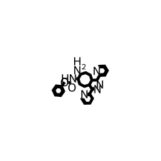 NC1CCC2C(c3ccccn3)=NN=C(C3=NC=CCC3)C2CCC1NC(=O)Oc1ccccc1